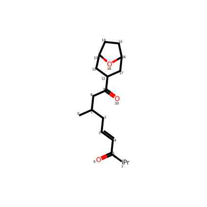 CC(C/C=C/C(=O)C(C)C)CC(=O)C1CC2CCC(C1)O2